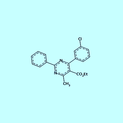 CCOC(=O)c1c(C)nc(-c2ccccc2)nc1-c1cccc(Cl)c1